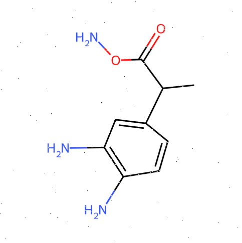 CC(C(=O)ON)c1ccc(N)c(N)c1